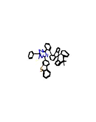 CC1(C)c2ccccc2C2(c3ccccc3-c3c(-c4ccccc4-c4nc(-c5ccccc5)nc(-c5ccc6c(c5)sc5ccccc56)n4)cccc32)c2ccccc21